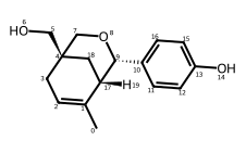 CC1=CC[C@]2(CO)CO[C@H](c3ccc(O)cc3)[C@H]1C2